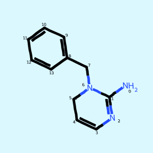 NC1=NC=C[CH]N1Cc1ccccc1